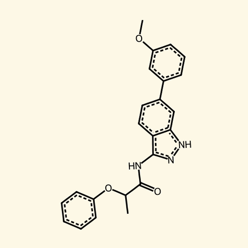 COc1cccc(-c2ccc3c(NC(=O)C(C)Oc4ccccc4)n[nH]c3c2)c1